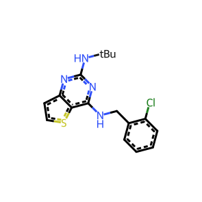 CC(C)(C)Nc1nc(NCc2ccccc2Cl)c2sccc2n1